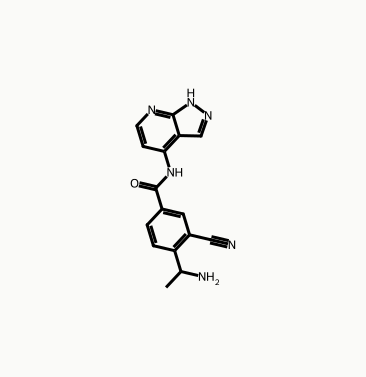 CC(N)c1ccc(C(=O)Nc2ccnc3[nH]ncc23)cc1C#N